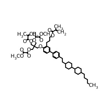 C=C(C)C(=O)OCCCc1cc(-c2ccc(CCC3CCC(C4CCC(CCCCC)CC4)CC3)cc2)ccc1OCC(COC(=O)C(=C)C)(COC(=O)C(=O)OC)COC(=O)C(=O)OC